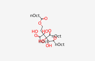 CCCCCCCCC(=O)OC[C@@H](O)[C@@](O)(C(=O)CCCCCCCC)[C@](O)(C(=O)CCCCCCCC)C(O)C(=O)CCCCCCCC